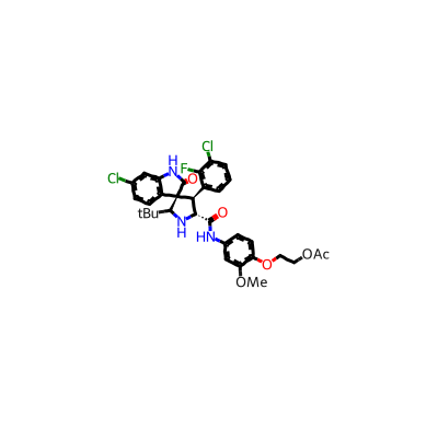 COc1cc(NC(=O)[C@@H]2NC(C(C)(C)C)[C@@]3(C(=O)Nc4cc(Cl)ccc43)[C@H]2c2cccc(Cl)c2F)ccc1OCCOC(C)=O